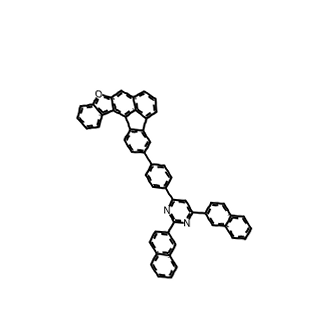 c1ccc2cc(-c3cc(-c4ccc(-c5ccc6c(c5)-c5cccc7cc8oc9ccccc9c8c-6c57)cc4)nc(-c4ccc5ccccc5c4)n3)ccc2c1